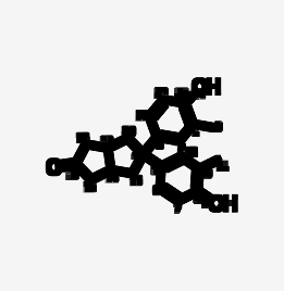 Cc1cc(C2(c3ccc(O)c(C)c3)CC3CC(=O)CC3C2)ccc1O